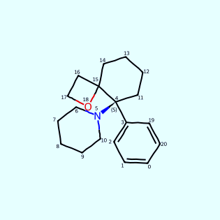 c1ccc([C@@]2(N3CCCCC3)CCCCC23CCO3)cc1